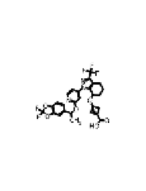 CC(Oc1cc(-n2nc(C(F)(F)F)c3c2C(OC24CC(C(=O)O)(C2)C4)CCC3)ccn1)c1ccc2c(c1)OC(F)(F)O2